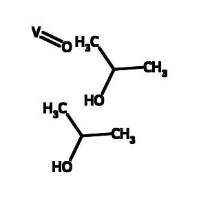 CC(C)O.CC(C)O.[O]=[V]